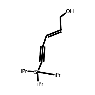 CC(C)[Si](C#C/C=C/CO)(C(C)C)C(C)C